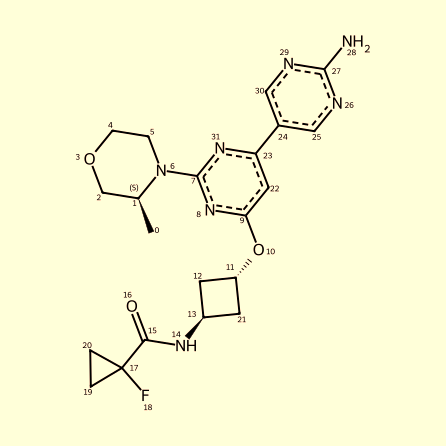 C[C@H]1COCCN1c1nc(O[C@H]2C[C@H](NC(=O)C3(F)CC3)C2)cc(-c2cnc(N)nc2)n1